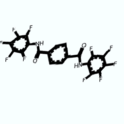 O=C(Nc1c(F)c(F)c(F)c(F)c1F)c1ccc(C(=O)Nc2c(F)c(F)c(F)c(F)c2F)cc1